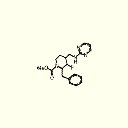 COC(=O)N1CCC(CNc2ncccn2)C(F)C1Cc1ccccc1